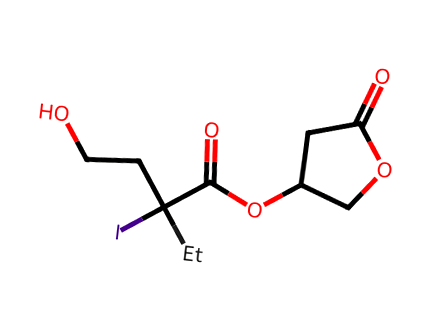 CCC(I)(CCO)C(=O)OC1COC(=O)C1